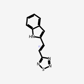 C(=C\c1cc2ccccc2[nH]1)/c1nnsn1